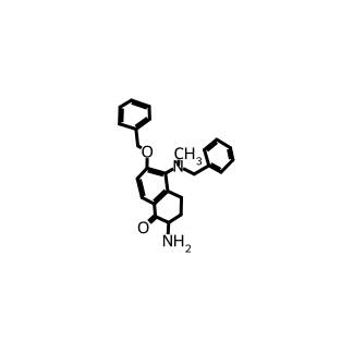 CN(Cc1ccccc1)c1c(OCc2ccccc2)ccc2c1CCC(N)C2=O